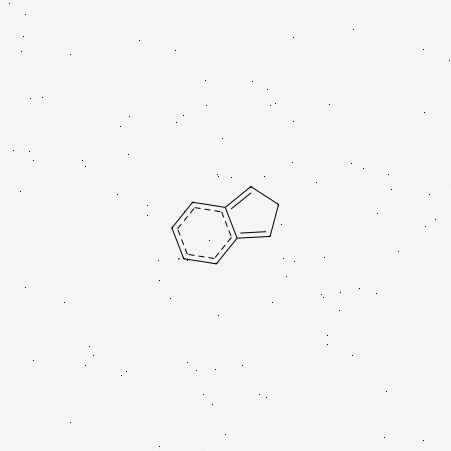 [c]1ccc2c(c1)=CCC=2